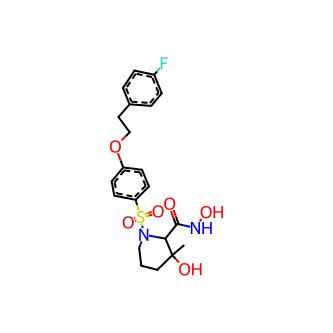 CC1(O)CCCN(S(=O)(=O)c2ccc(OCCc3ccc(F)cc3)cc2)C1C(=O)NO